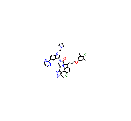 Cc1cc(OCCCc2c3n(c4c(-c5c(C)nn(C)c5C)c(Cl)ccc24)[C@H](C)CN(c2cn(CCN4CCCC4)c4ccc(-c5ncccn5)cc24)C3=O)cc(C)c1Cl